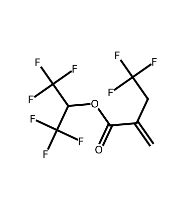 C=C(CC(F)(F)F)C(=O)OC(C(F)(F)F)C(F)(F)F